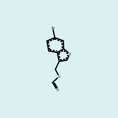 O=[C]OCc1coc2cc(Br)ccc12